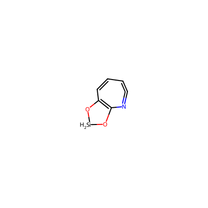 C1=CC=CC2=C(N=1)O[SiH2]O2